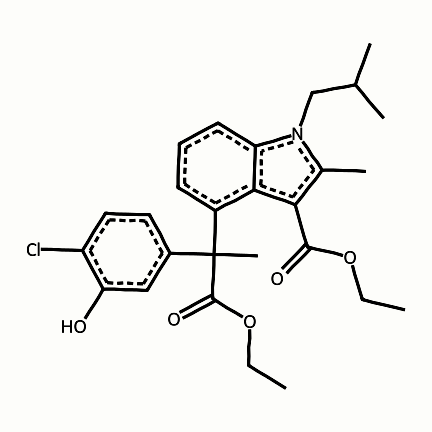 CCOC(=O)c1c(C)n(CC(C)C)c2cccc(C(C)(C(=O)OCC)c3ccc(Cl)c(O)c3)c12